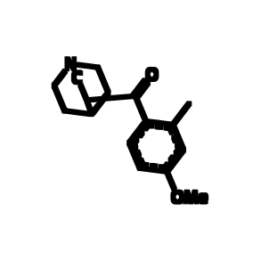 COc1ccc(C(=O)C2CN3CCC2CC3)c(C)c1